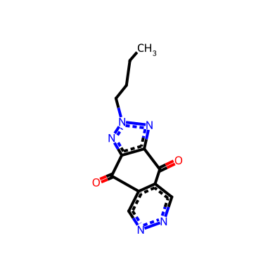 CCCCn1nc2c(n1)C(=O)c1cnncc1C2=O